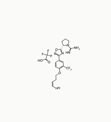 CCC/C=C\CCOc1ccc(-c2noc([C@@H]3CCCN3C(=N)N)n2)cc1C(F)(F)F.O=C(O)C(F)(F)F